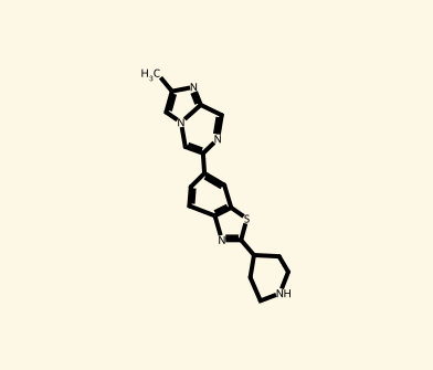 Cc1cn2cc(-c3ccc4nc(C5CCNCC5)sc4c3)ncc2n1